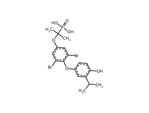 CC(C)c1cc(Oc2c(Br)cc(OC(C)(C)P(=O)(O)O)cc2Br)ccc1O